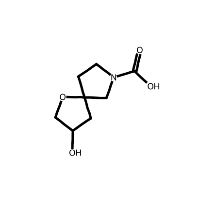 O=C(O)N1CCC2(CC(O)CO2)C1